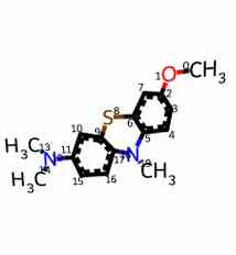 COc1ccc2c(c1)Sc1cc(N(C)C)ccc1N2C